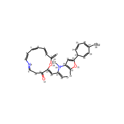 C=C1/C=C/C=C\C=C/N=C/CC(=O)/C(=C/C(=C/C)N(CC)c2cc(C3C=CC=C(C(C)(C)C)C=C3)oc2C)O1